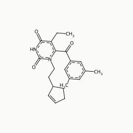 CCc1c(C(=O)c2cc(C)cc(C)c2)n(CCC2C=CCC2)c(=O)[nH]c1=O